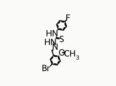 COc1ccc(Br)cc1C=NNC(=S)Nc1ccc(F)cc1